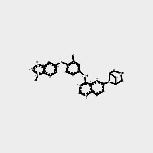 Cc1cc(Nc2ncnc3ccc(N4C5CNCC4C5)nc23)ccc1Oc1ccc2c(c1)nnn2C